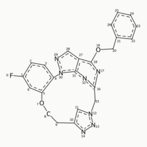 Fc1ccc2c(c1)OCCc1cn(nn1)Cc1nc(OCc3ccccc3)c3cnn-2c3n1